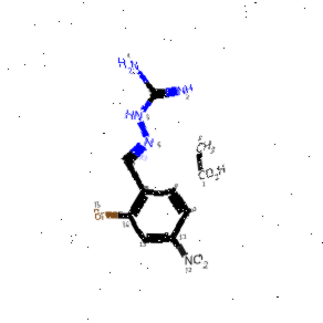 CC(=O)O.N=C(N)N/N=C/c1ccc([N+](=O)[O-])cc1Br